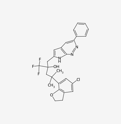 CC(C)(CC(O)(Cc1cc2cc(-c3ccccc3)nnc2[nH]1)C(F)(F)F)c1cc(Cl)cc2c1OCC2